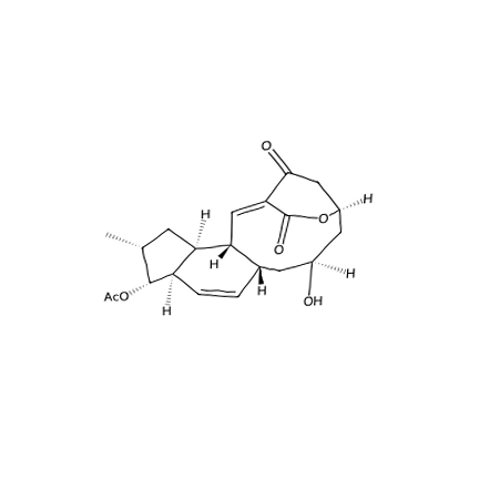 CC(=O)O[C@H]1[C@@H]2C=C[C@H]3C[C@H](O)C[C@@H]4CC(=O)/C(=C/[C@H]3[C@@H]2C[C@H]1C)C(=O)O4